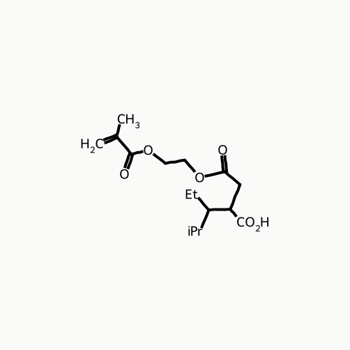 C=C(C)C(=O)OCCOC(=O)CC(C(=O)O)C(CC)C(C)C